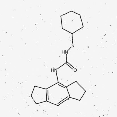 O=C(NSC1CCCCC1)Nc1c2c(cc3c1CCC3)CCC2